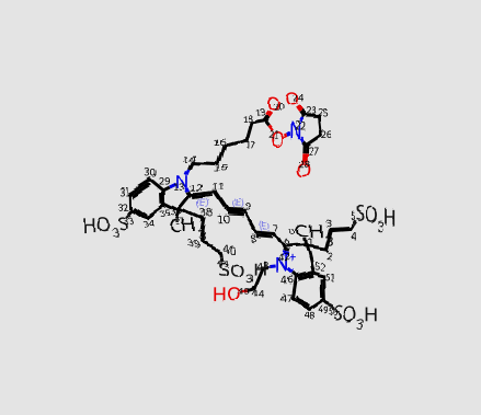 CC1(CCCS(=O)(=O)O)C(/C=C/C=C/C=C2/N(CCCCCC(=O)ON3C(=O)CCC3=O)c3ccc(S(=O)(=O)O)cc3C2(C)CCCS(=O)(=O)O)=[N+](CCO)c2ccc(S(=O)(=O)O)cc21